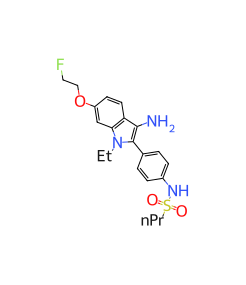 CCCS(=O)(=O)Nc1ccc(-c2c(N)c3ccc(OCCF)cc3n2CC)cc1